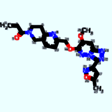 C=CC(=O)N1CCc2nc(COc3nn4c(-c5cc(C)on5)nnc4cc3OC)ccc2C1